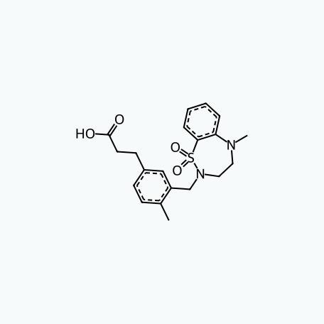 Cc1ccc(CCC(=O)O)cc1CN1CCN(C)c2ccccc2S1(=O)=O